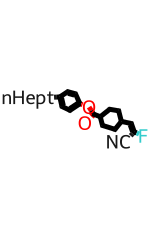 CCCCCCCc1ccc(OC(=O)C2CCC(/C=C(/F)C#N)CC2)cc1